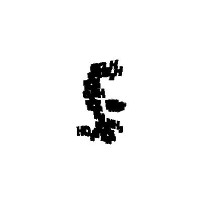 Nc1c(N=Nc2ccc(C(=O)Nc3ccc(CC(C(=O)O)C(=O)O)cc3)cc2)cc(S(=O)(=O)O)c2ccccc12.[Na].[Na].[Na]